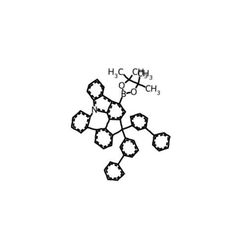 CC1(C)OB(c2cc3c4c5c2c2ccccc2n5-c2ccccc2-c2cccc(c2-4)C3(c2cccc(-c3ccccc3)c2)c2cccc(-c3ccccc3)c2)OC1(C)C